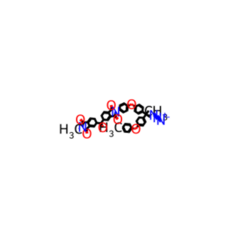 Cc1ccc(OC2=CC=C(C(C)(CN=[N+]=[N-])c3ccc(Oc4ccc(N5C(=O)C6=CCC(C(=O)C7C=C8C(=O)N(C)C(=O)C8=CC7)C=C6C5=O)cc4)cc3)CC2)cc1